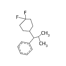 CC(C)C(c1ccccc1)C1CCC(F)(F)CC1